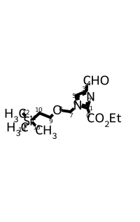 CCOC(=O)c1nc(C=O)cn1COCC[Si](C)(C)C